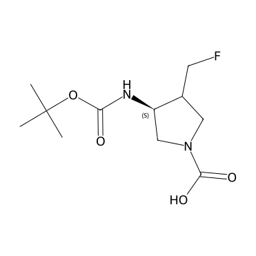 CC(C)(C)OC(=O)N[C@@H]1CN(C(=O)O)CC1CF